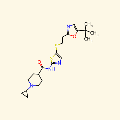 CC(C)(C)c1cnc(CCSc2cnc(NC(=O)C3CCN(C4CC4)CC3)s2)o1